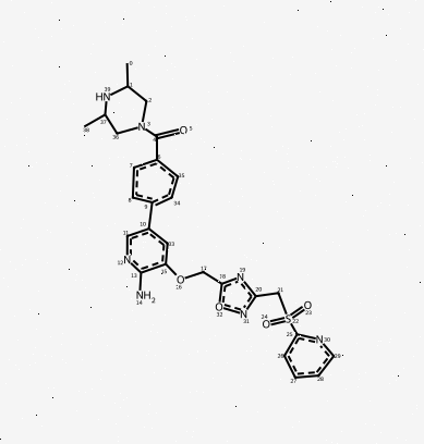 CC1CN(C(=O)c2ccc(-c3cnc(N)c(OCc4nc(CS(=O)(=O)c5ccccn5)no4)c3)cc2)CC(C)N1